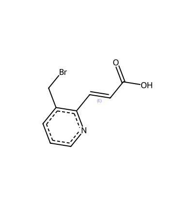 O=C(O)/C=C/c1ncccc1CBr